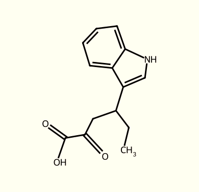 CCC(CC(=O)C(=O)O)c1c[nH]c2ccccc12